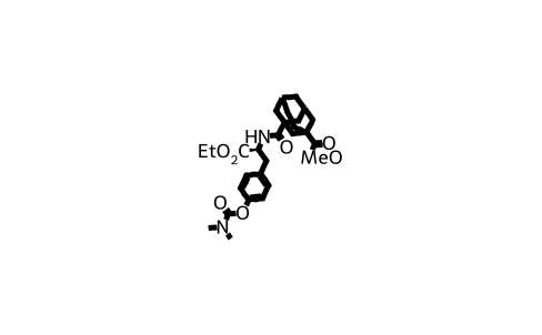 CCOC(=O)[C@H](Cc1ccc(OC(=O)N(C)C)cc1)NC(=O)C12CC3CC(C1)CC(C(=O)OC)(C3)C2